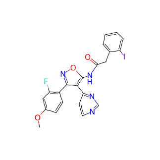 COc1ccc(-c2noc(NC(=O)Cc3ccccc3I)c2-c2ccncn2)c(F)c1